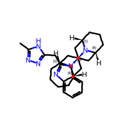 Cc1nnc(Cc2nc3ccccc3n2[C@@H]2C[C@H]3CCC[C@@H](C2)N3[C@H]2C[C@@H]3CCCC[C@@H](C3)C2)[nH]1